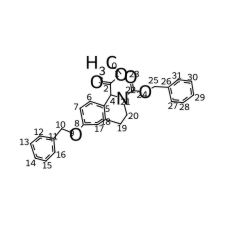 COC(=O)C1c2ccc(OCc3ccccc3)cc2CCN1C(=O)OCc1ccccc1